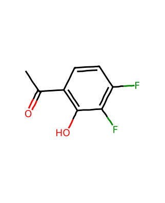 CC(=O)c1ccc(F)c(F)c1O